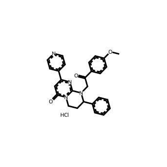 COc1ccc(C(=O)CN2c3nc(-c4ccncc4)cc(=O)n3CCC2c2ccccc2)cc1.Cl